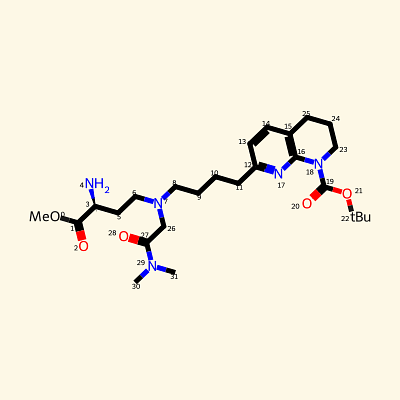 COC(=O)[C@@H](N)CCN(CCCCc1ccc2c(n1)N(C(=O)OC(C)(C)C)CCC2)CC(=O)N(C)C